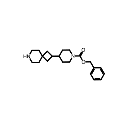 O=C(OCc1ccccc1)N1CCC(C2CC3(CCNCC3)C2)CC1